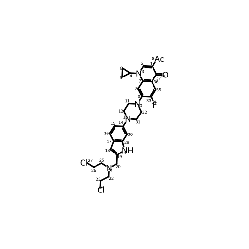 CC(=O)c1cn(C2CC2)c2cc(N3CCN(c4ccc5cc(CN(CCCl)CCCl)[nH]c5c4)CC3)c(F)cc2c1=O